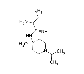 CCC(N)C(=N)NC1(C)CCN(C(C)C)CC1